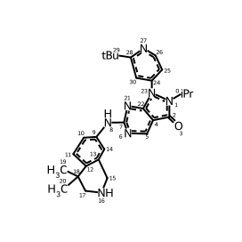 CC(C)n1c(=O)c2cnc(Nc3ccc4c(c3)CNCC4(C)C)nc2n1-c1ccnc(C(C)(C)C)c1